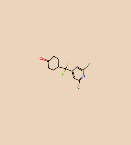 O=C1CCC(C(F)(F)c2cc(Cl)nc(Cl)c2)CC1